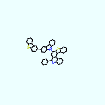 c1ccc(-c2nc3ccccc3c3c2cc(-n2c4ccccc4c4cc(-c5ccc6sc7ccccc7c6c5)ccc42)c2sc4ccccc4c23)cc1